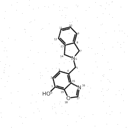 Oc1ccc(CN2Cc3ccccc3C2)c2ncoc12